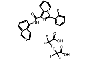 O=C(Nc1cccc2cnccc12)c1nc(-c2ccccc2F)n2ccccc12.O=C(O)C(F)(F)F.O=C(O)C(F)(F)F